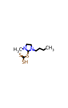 CCCCN1CCN(C)C1SC(=S)S